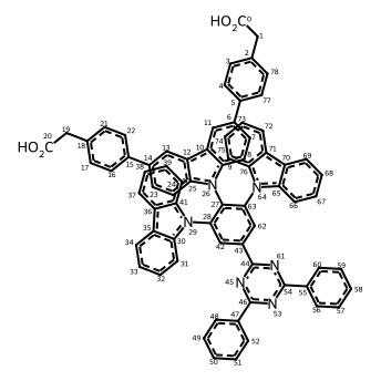 O=C(O)Cc1ccc(-c2ccc3c(c2)c2cc(-c4ccc(CC(=O)O)cc4)ccc2n3-c2c(-n3c4ccccc4c4ccccc43)cc(-c3nc(-c4ccccc4)nc(-c4ccccc4)n3)cc2-n2c3ccccc3c3ccccc32)cc1